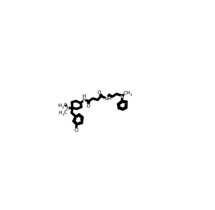 CN(CCCNC(=O)CCC(=O)NC1CCC(Cc2cccc(Cl)c2)(N(C)C)CC1)c1ccccc1